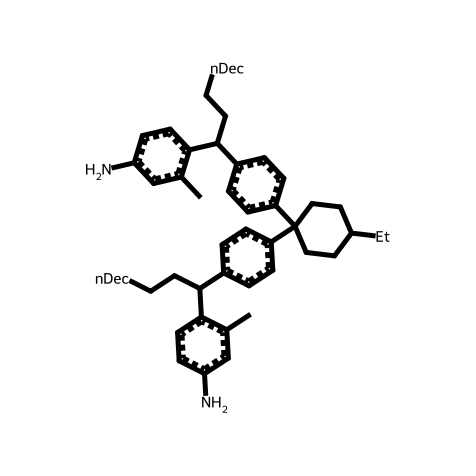 CCCCCCCCCCCCC(c1ccc(C2(c3ccc(C(CCCCCCCCCCCC)c4ccc(N)cc4C)cc3)CCC(CC)CC2)cc1)c1ccc(N)cc1C